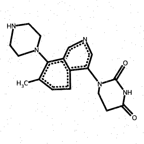 Cc1ccc2c(N3CCC(=O)NC3=O)cncc2c1N1CCNCC1